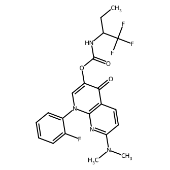 CCC(NC(=O)Oc1cn(-c2ccccc2F)c2nc(N(C)C)ccc2c1=O)C(F)(F)F